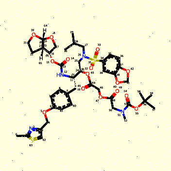 Cc1nc(COc2ccc(C[C@H](NC(=O)O[C@H]3CO[C@H]4OCC[C@H]43)[C@@H](CN(CC(C)C)S(=O)(=O)c3ccc4c(c3)OCO4)OC(=O)COC(=O)CN(C)C(=O)OC(C)(C)C)cc2)cs1